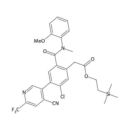 COc1ccccc1N(C)C(=O)c1cc(-c2cnc(C(F)(F)F)cc2C#N)c(Cl)cc1CC(=O)OCC[Si](C)(C)C